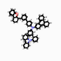 c1cc(-c2ccc(N(c3cccc(-c4ccccc4-n4c5ccccc5c5ccccc54)c3)c3ccc4c5ccccc5c5ccccc5c4c3)cc2)cc(-c2cccc3c2oc2ccccc23)c1